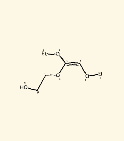 CCOC=C(OCC)OCCO